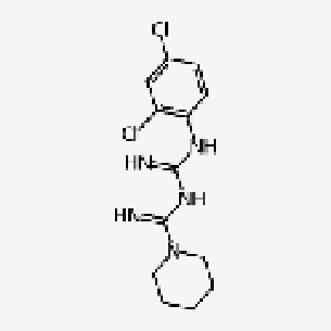 N=C(NC(=N)N1CCCCC1)Nc1ccc(Cl)cc1Cl